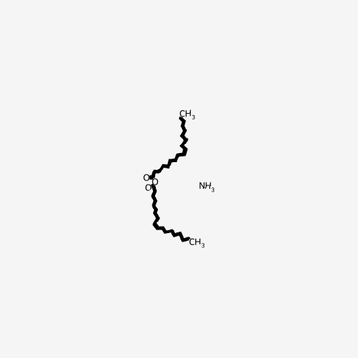 CCCCCCCC/C=C\CCCCCCCC(=O)OC(=O)CCCCCCC/C=C\CCCCCCCC.N